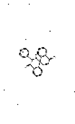 O=C1C=CC2(C(=O)N(c3ccccc3)C(=O)c3ccccc32)c2ccccc21